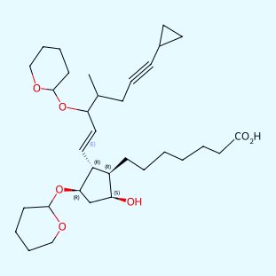 CC(CC#CC1CC1)C(/C=C/[C@@H]1[C@@H](CCCCCCC(=O)O)[C@@H](O)C[C@H]1OC1CCCCO1)OC1CCCCO1